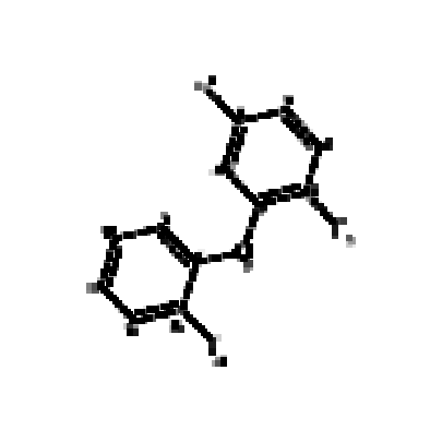 [CH2]c1ccc(F)c(Oc2ccccc2F)c1